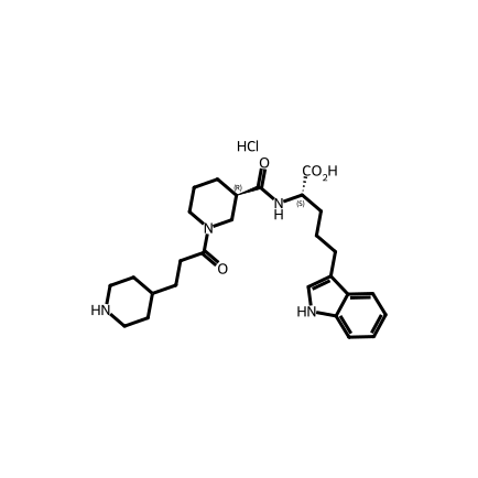 Cl.O=C(N[C@@H](CCCc1c[nH]c2ccccc12)C(=O)O)[C@@H]1CCCN(C(=O)CCC2CCNCC2)C1